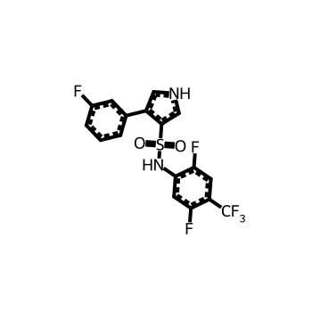 O=S(=O)(Nc1cc(F)c(C(F)(F)F)cc1F)c1c[nH]cc1-c1cccc(F)c1